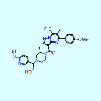 CCOc1ccc(C(CO)N2CCN(C(=O)c3cnn4c(C(F)(F)F)c(C)c(-c5ccc(OC)cc5)nc34)[C@H](C)C2)cn1